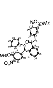 COc1cc(CC(OC(Cc2ccc([N+](=O)[O-])c(OC)c2)c2ccccc2)c2ccccc2)ccc1[N+](=O)[O-]